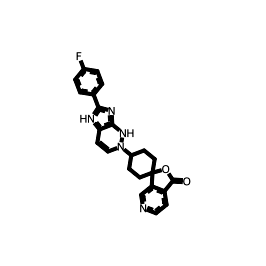 O=C1OC2(CCC(N3C=Cc4[nH]c(-c5ccc(F)cc5)nc4N3)CC2)c2cnccc21